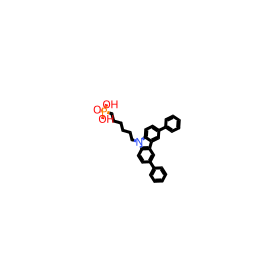 O=P(O)(O)CCCCCCn1c2ccc(-c3ccccc3)cc2c2cc(-c3ccccc3)ccc21